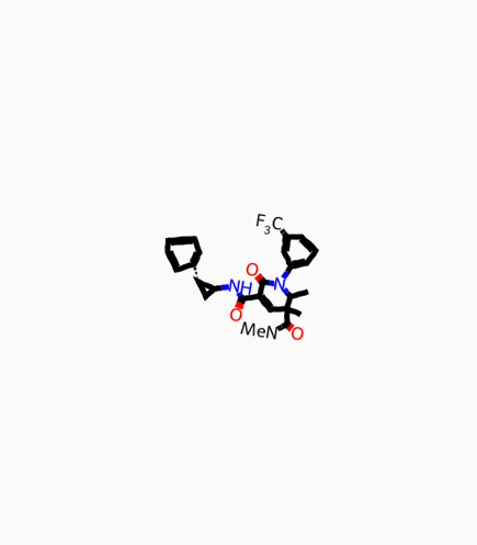 CNC(=O)C1(C)C=C(C(=O)NC2C[C@@H]2c2ccccc2)C(=O)N(c2cccc(C(F)(F)F)c2)C1C